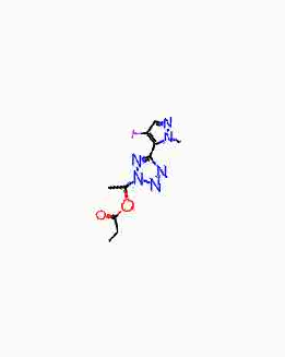 CCC(=O)OC(C)n1nnc(-c2c(I)cnn2C)n1